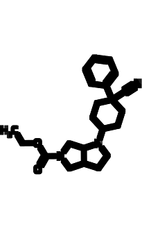 CCOC(=O)N1CC2CCN(C3CCC(C#N)(c4ccccc4)CC3)C2C1